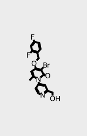 Cc1cc(OCc2ccc(F)cc2F)c(Br)c(=O)n1-c1ccnc(CO)c1